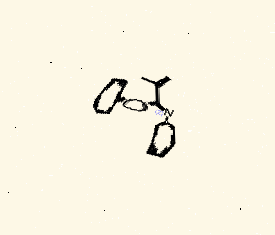 C=C(C)/C(=N/c1ccccc1)Oc1ccccc1